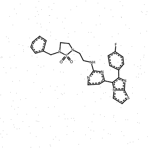 O=S1(=O)N(CCNc2nccc(-c3c(-c4ccc(F)cc4)nc4sccn34)n2)CCN1Cc1ccccc1